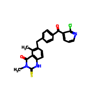 Cc1c(Cc2ccc(C(=O)c3cccnc3Cl)cc2)ccc2[nH]c(=S)n(C)c(=O)c12